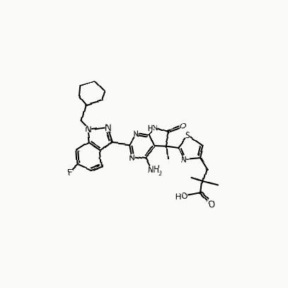 CC(C)(Cc1csc(C2(C)C(=O)Nc3nc(-c4nn(CC5CCCCC5)c5cc(F)ccc45)nc(N)c32)n1)C(=O)O